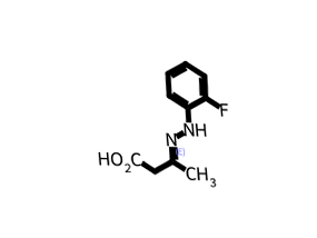 C/C(CC(=O)O)=N\Nc1ccccc1F